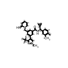 Cc1cc([C@@H](NC(=O)c2cc(Cn3ccccc3=N)cc(-c3cn(C)nc3C(F)(F)F)c2)C2CC2)ccc1F